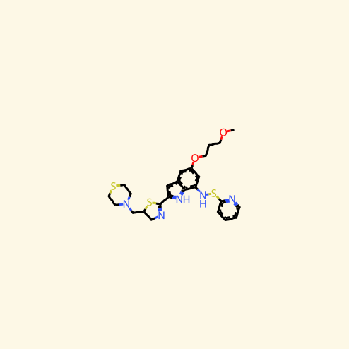 COCCCOc1cc(NSc2ccccn2)c2[nH]c(C3=NCC(CN4CCSCC4)S3)cc2c1